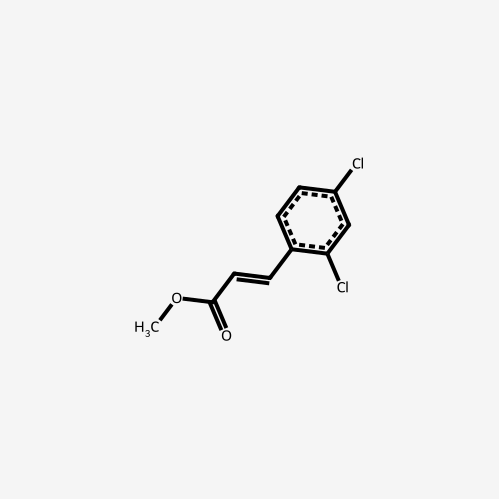 COC(=O)/C=C/c1ccc(Cl)cc1Cl